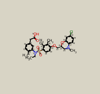 CCN(c1cc(CC(=O)O)ccc1C)S(=O)(=O)c1ccc(OC[C@@H]2CN(C)c3ccc(Cl)cc3O2)c(C)c1C